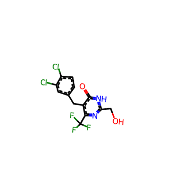 O=c1[nH]c(CO)nc(C(F)(F)F)c1Cc1ccc(Cl)c(Cl)c1